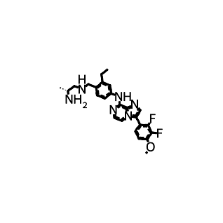 CCc1cc(Nc2nccn3c(-c4ccc(OC)c(F)c4F)cnc23)ccc1CNC[C@@H](C)N